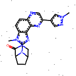 Cn1cc(-c2cnc3ccc4c(nc(N5C6CCC5C(=O)NC6)n4C)c3n2)cn1